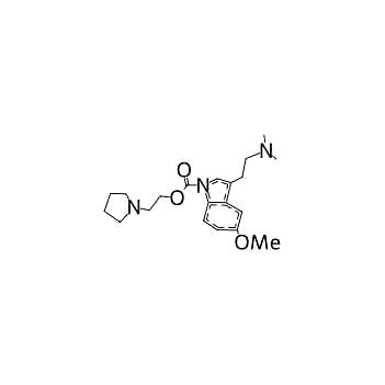 COc1ccc2c(c1)c(CCN(C)C)cn2C(=O)OCCN1CCCC1